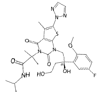 COc1ccc(F)cc1[C@](O)(CCO)Cn1c(=O)n(C(C)(C)C(=O)NC(C)C)c(=O)c2c(C)c(-n3nccn3)sc21